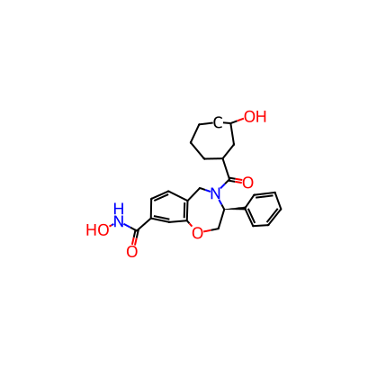 O=C(NO)c1ccc2c(c1)OC[C@H](c1ccccc1)N(C(=O)C1CCCCC(O)C1)C2